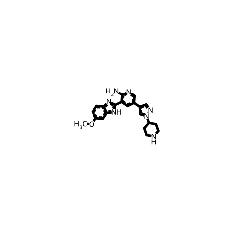 COc1ccc2nc(-c3cc(-c4cnn(C5CCNCC5)c4)cnc3N)[nH]c2c1